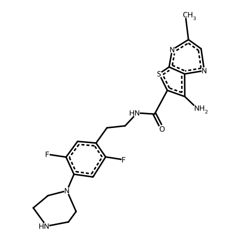 Cc1cnc2c(N)c(C(=O)NCCc3cc(F)c(N4CCNCC4)cc3F)sc2n1